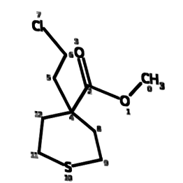 COC(=O)C1(CCCl)CCSCC1